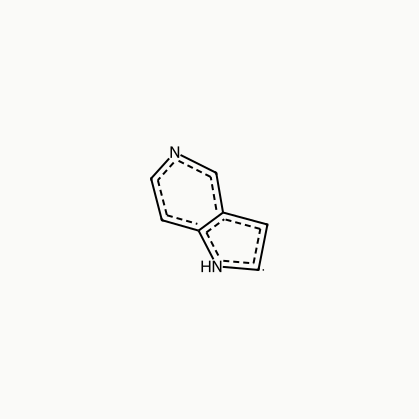 [c]1cc2cnccc2[nH]1